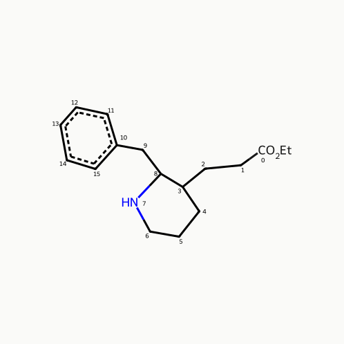 CCOC(=O)CCC1CCCNC1Cc1ccccc1